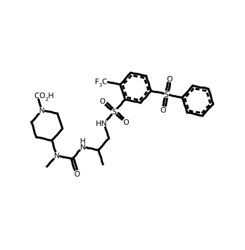 CC(CNS(=O)(=O)c1cc(S(=O)(=O)c2ccccc2)ccc1C(F)(F)F)NC(=O)N(C)C1CCN(C(=O)O)CC1